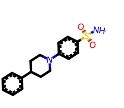 [NH]S(=O)(=O)c1ccc(N2CCC(c3ccccc3)CC2)cc1